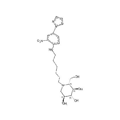 O=[N+]([O-])c1cc(-n2nccn2)ccc1NCCCCCCN1C[C@H](O)[C@@H](O)[C@H](O)[C@H]1CO